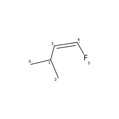 CC(C)/C=[C]\F